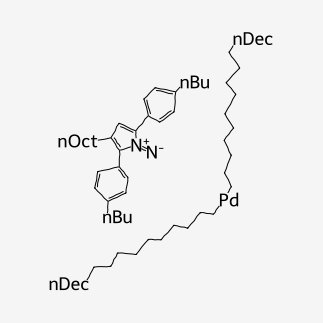 CCCCCCCCC1=C(c2ccc(CCCC)cc2)[N+](=[N-])C(c2ccc(CCCC)cc2)=C1.CCCCCCCCCCCCCCCCCCC[CH2][Pd][CH2]CCCCCCCCCCCCCCCCCCC